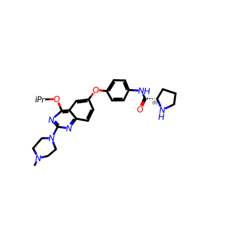 CC(C)Oc1nc(N2CCN(C)CC2)nc2ccc(Oc3ccc(NC(=O)[C@@H]4CCCN4)cc3)cc12